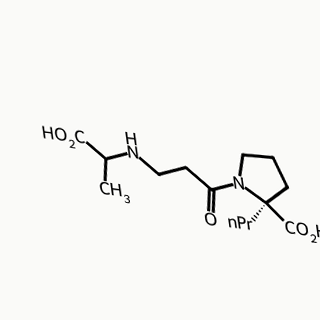 CCC[C@@]1(C(=O)O)CCCN1C(=O)CCNC(C)C(=O)O